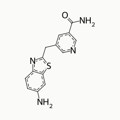 NC(=O)c1cncc(Cc2nc3ccc(N)cc3s2)c1